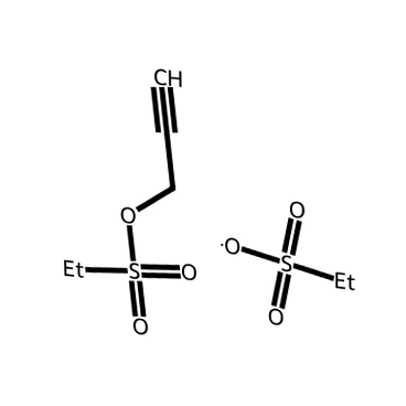 C#CCOS(=O)(=O)CC.CCS([O])(=O)=O